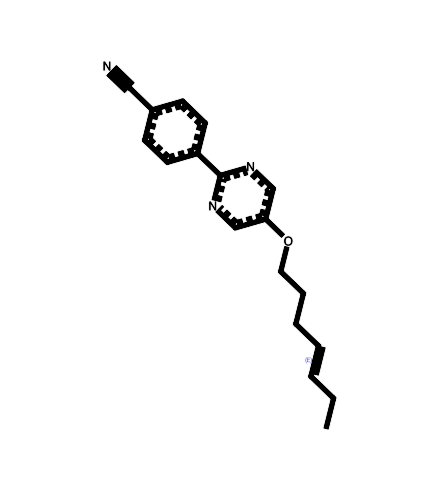 CC/C=C/CCCOc1cnc(-c2ccc(C#N)cc2)nc1